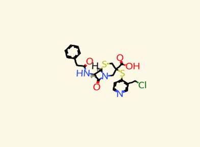 O=C(Cc1ccccc1)N[C@@H]1C(=O)N2CC(Sc3ccncc3CCl)(C(=O)O)CS[C@H]12